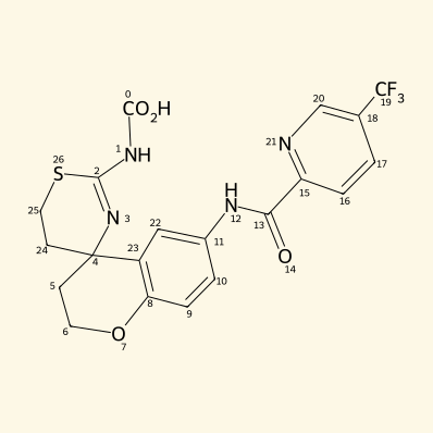 O=C(O)NC1=NC2(CCOc3ccc(NC(=O)c4ccc(C(F)(F)F)cn4)cc32)CCS1